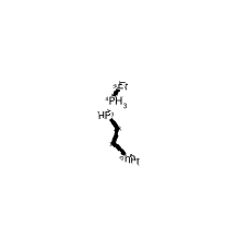 CCCCCP[PH3]CC